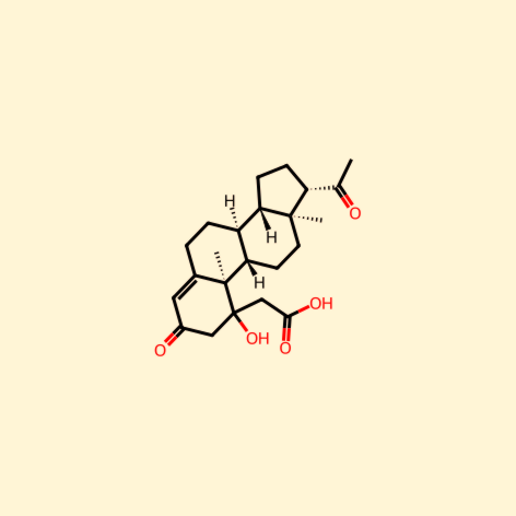 CC(=O)[C@H]1CC[C@H]2[C@@H]3CCC4=CC(=O)CC(O)(CC(=O)O)[C@]4(C)[C@H]3CC[C@]12C